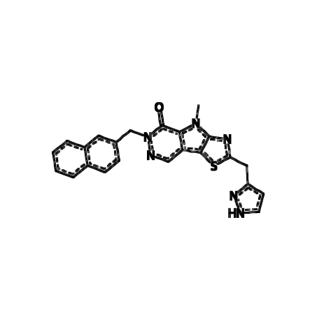 Cn1c2nc(Cc3cc[nH]n3)sc2c2cnn(Cc3ccc4ccccc4c3)c(=O)c21